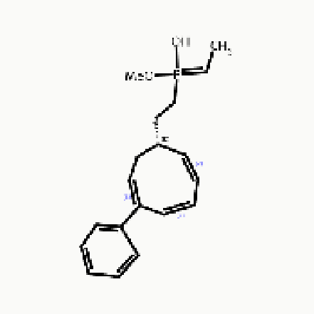 CC=P(O)(CC[C@@H]1\C=C/C=C\C(c2ccccc2)=C/C1)OC